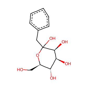 OC[C@H]1OC(O)(Cc2ccccc2)[C@@H](O)[C@@H](O)[C@@H]1O